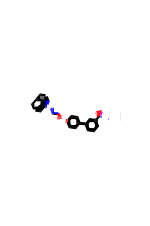 NC(=O)c1cccc(-c2ccc(OCCNC34CC5CC(CC(C5)C3)C4)cc2)c1